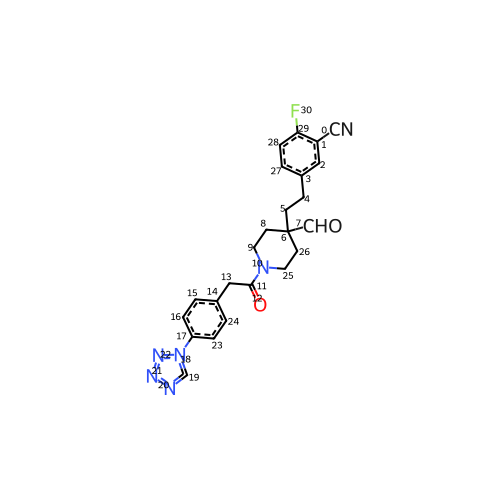 N#Cc1cc(CCC2(C=O)CCN(C(=O)Cc3ccc(-n4cnnn4)cc3)CC2)ccc1F